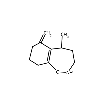 C=C1CCCC2=C1C(C)CCNO2